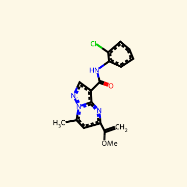 C=C(OC)c1cc(C)n2ncc(C(=O)Nc3ccccc3Cl)c2n1